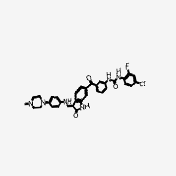 CN1CCN(c2ccc(N/C=C3/C(=O)Nc4cc(C(=O)c5cccc(NC(=O)Nc6ccc(Cl)cc6F)c5)ccc43)cc2)CC1